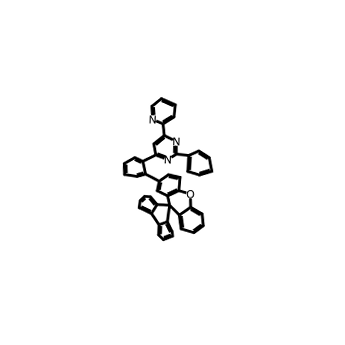 c1ccc(-c2nc(-c3ccccn3)cc(-c3ccccc3-c3ccc4c(c3)C3(c5ccccc5O4)c4ccccc4-c4ccccc43)n2)cc1